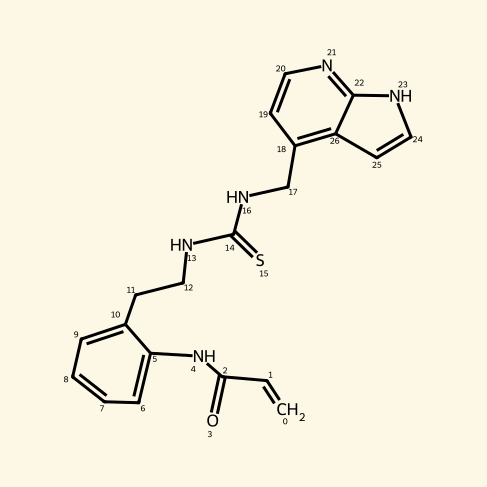 C=CC(=O)Nc1ccccc1CCNC(=S)NCc1ccnc2[nH]ccc12